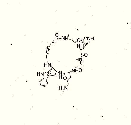 CC1CC(=O)N[C@@H](Cc2c[nH]cn2)C(=O)NC(C)C(=O)N[C@@H](CCCN)C(=O)N[C@@H](Cc2c[nH]c3ccccc23)C(=O)NCCCCCCC(=O)N1